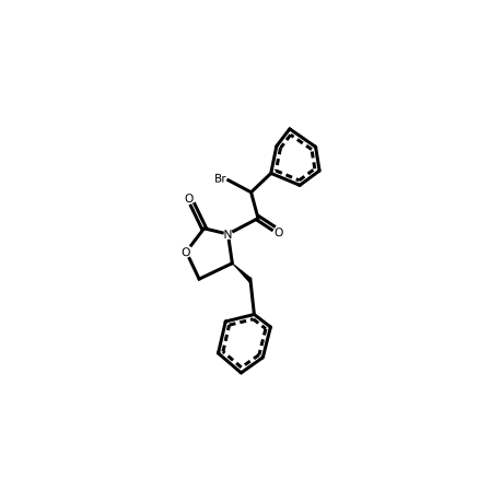 O=C1OC[C@H](Cc2ccccc2)N1C(=O)C(Br)c1ccccc1